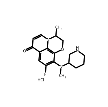 CC1COc2c(N(C)C3CCCNC3)c(F)cc3c(=O)ccn1c23.Cl